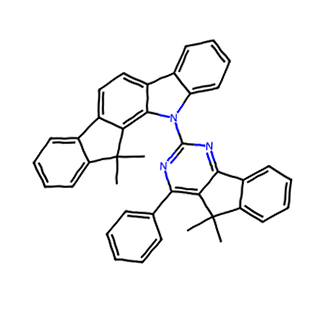 CC1(C)c2ccccc2-c2nc(-n3c4ccccc4c4ccc5c(c43)C(C)(C)c3ccccc3-5)nc(-c3ccccc3)c21